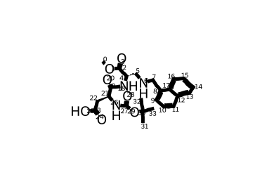 COC(=O)[C@H](CNCc1cccc2ccccc12)NC(=O)[C@H](CC(=O)O)NC(=O)OC(C)(C)C